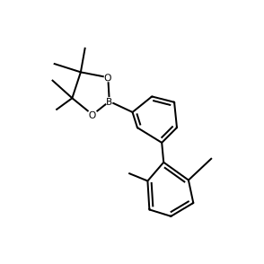 Cc1cccc(C)c1-c1cccc(B2OC(C)(C)C(C)(C)O2)c1